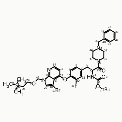 CC(C)(C)OC(=O)N[C@@H](Cc1ccc(Oc2ccnc3c2c(Br)cn3COCC[Si](C)(C)C)c(F)c1)C(=O)N1CCN(Cc2ccccc2)CC1